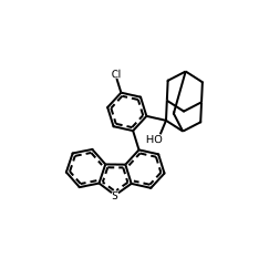 OC1(c2cc(Cl)ccc2-c2cccc3sc4ccccc4c23)C2CC3CC(C2)CC1C3